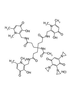 CC(=O)NC(CCC(=O)NCc1c(O)c(=O)cc(C)n1C)(CCC(=O)NCc1c(O)c(=O)cc(C)n1C)CCC(=O)NCc1c(O)c(=O)cc(C)n1C.Cl.O=C1C=C(N2CC2)C(=O)C(N2CC2)=C1N1CC1